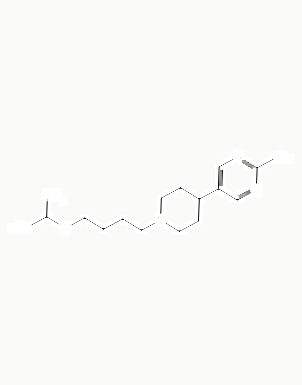 CCCCC(C)OCCCCN1CCC(c2cnc(C(C)CC)nc2)CC1